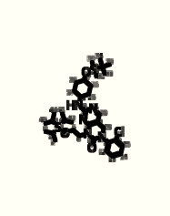 CC(C)[Si](OCCN1C(=O)N(c2ccccc2Cl)Cc2cnc(NC3CCC(O[Si](C)(C)C(C)(C)C)CC3)nc21)(C(C)C)C(C)C